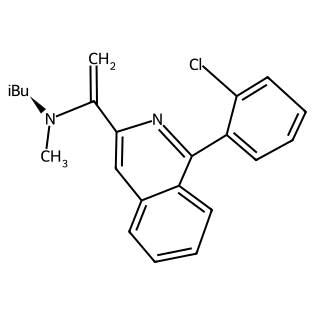 C=C(c1cc2ccccc2c(-c2ccccc2Cl)n1)N(C)[C@H](C)CC